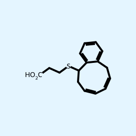 O=C(O)CCSC1C/C=C\C=C/Cc2ccccc21